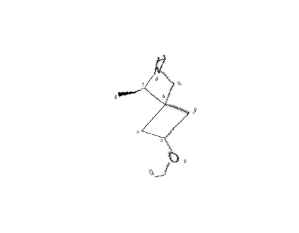 COC1CC2(CN[C@@H]2C)C1